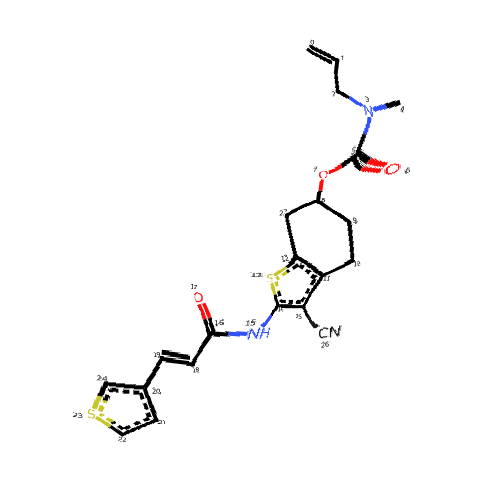 C=CCN(C)C(=O)OC1CCc2c(sc(NC(=O)C=Cc3ccsc3)c2C#N)C1